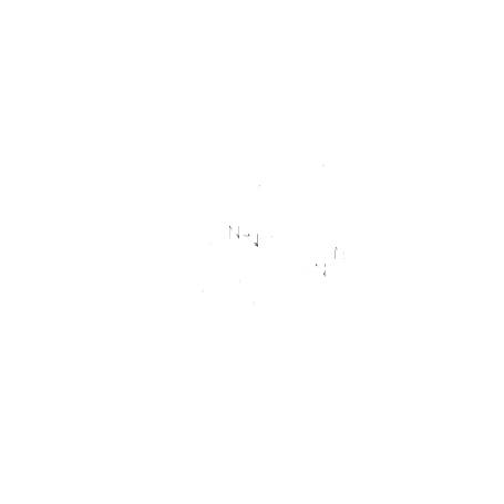 CCCc1cnnc(Cc2nncc(CCC)c2CCC)c1CCC